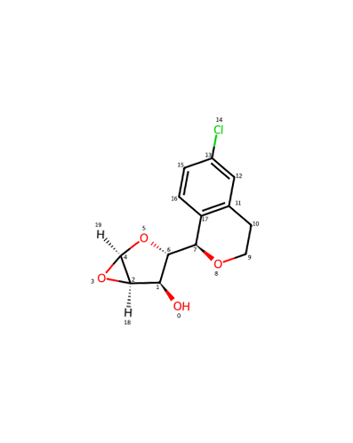 O[C@H]1[C@H]2O[C@H]2O[C@@H]1[C@@H]1OCCc2cc(Cl)ccc21